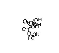 CN1C(CO)CN(c2ccccc2)c2cc(Cl)c(-c3ccc(F)c(C(=O)O)c3)cc2S1(O)O